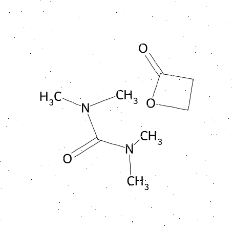 CN(C)C(=O)N(C)C.O=C1CCO1